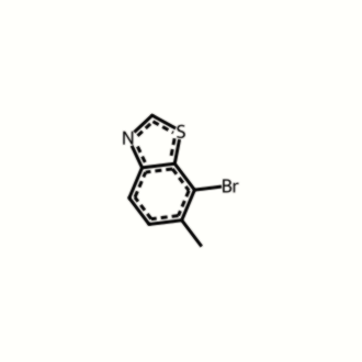 Cc1ccc2ncsc2c1Br